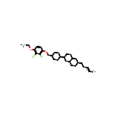 C/C=C/CCC1CCC2CC(C3CCC(COc4ccc(OCC)c(F)c4F)CC3)CCC2C1